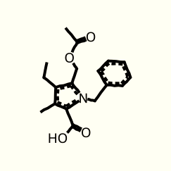 CCc1c(C)c(C(=O)O)n(Cc2ccccc2)c1COC(C)=O